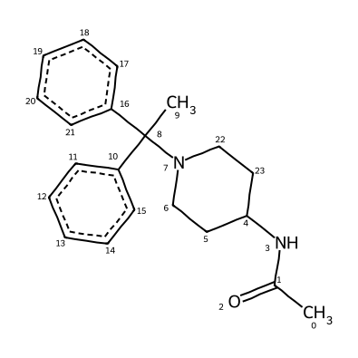 CC(=O)NC1CCN(C(C)(c2ccccc2)c2ccccc2)CC1